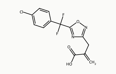 C=C(Cc1noc(C(F)(F)c2ccc(Cl)cc2)n1)C(=O)O